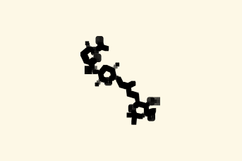 CC(=O)O[C@@H](C)/C=C\C(=O)N[C@@H]1C[C@H](C)[C@H](C/C=C(C)/C=C/[C@@H]2OC(C)(C)C[C@@]3(CO3)[C@H]2O)O[C@@H]1C